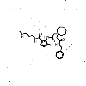 CNCCCNC(=O)c1scc(C)c1NC(=O)C[N+]1(CC(=O)NCc2ccccc2)CCCCCC1